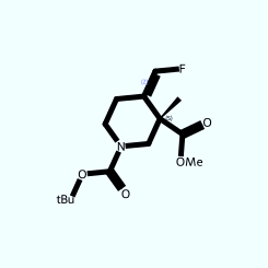 COC(=O)[C@]1(C)CN(C(=O)OC(C)(C)C)CC/C1=C/F